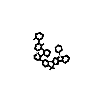 Cc1ccccc1-c1cccc(-c2ccccc2-c2ncccc2-c2ccc3c(c2)-c2cc4c(cc2C3(C)C)c2ccccc2n4C2=CC=CCC2)c1C